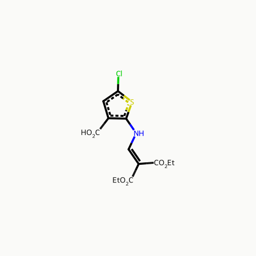 CCOC(=O)C(=CNc1sc(Cl)cc1C(=O)O)C(=O)OCC